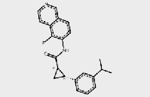 CC(C)c1cccc([C@@H]2C[C@H]2C(=O)Nc2ccc3cnccc3c2F)c1